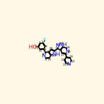 Oc1cc(F)cc(-c2nccc3[nH]c(-c4n[nH]c5cnc(-c6ccncc6)cc45)cc23)c1